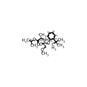 COCP(=O)(N[C@@H](C)C(=O)OC(C)C)Oc1ccccc1C(C)(C)C